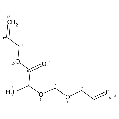 C=CCOCOC(C)C(=O)OCC=C